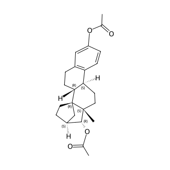 CC(=O)Oc1ccc2c(c1)CC[C@@H]1[C@@H]2CC[C@]2(C)[C@H](OC(C)=O)[C@H]3CC[C@@]12C3